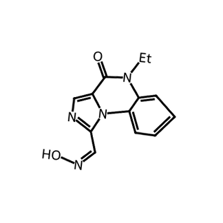 CCn1c(=O)c2cnc(/C=N\O)n2c2ccccc21